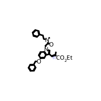 CCOC(=O)/C(C)=C/c1cn(CC(=O)N(C)CCc2ccccc2)c2ccc(OCc3ccccc3)cc12